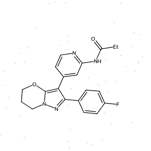 CCC(=O)Nc1cc(-c2c(-c3ccc(F)cc3)nn3c2OCCC3)ccn1